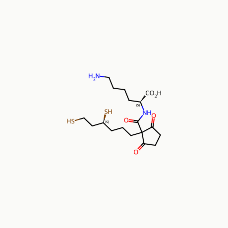 NCCCC[C@H](NC(=O)C1(CCC[C@H](S)CCS)C(=O)CCC1=O)C(=O)O